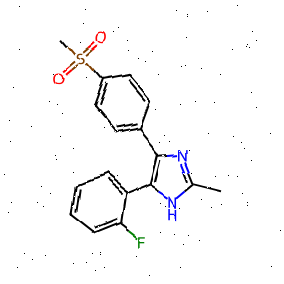 Cc1nc(-c2ccc(S(C)(=O)=O)cc2)c(-c2ccccc2F)[nH]1